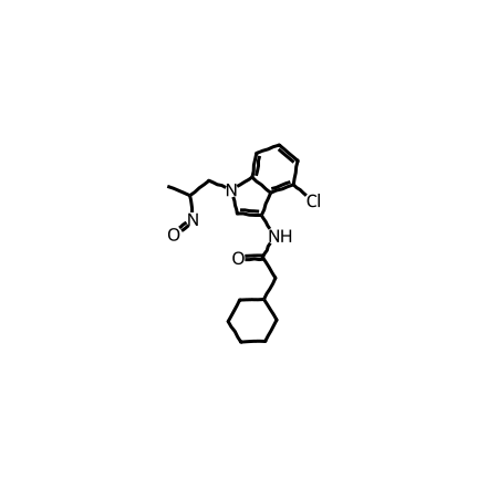 CC(Cn1cc(NC(=O)CC2CCCCC2)c2c(Cl)cccc21)N=O